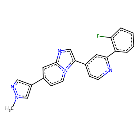 Cn1cc(-c2ccn3c(-c4ccnc(-c5ccccc5F)c4)cnc3c2)cn1